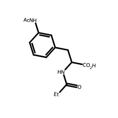 CCC(=O)NC(Cc1cccc(NC(C)=O)c1)C(=O)O